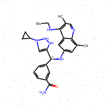 CC(C)(C)CNc1c(C#N)cnc2c(C#N)cc(N[C@H](C3=CN(C4CC4)NN3)c3cccc(C(N)=O)c3)cc12